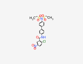 CCS(=O)(=O)N(c1ccc(-c2ccc(NC(=O)c3cc([N+](=O)[O-])ccc3Cl)cc2)cc1)S(=O)(=O)CC